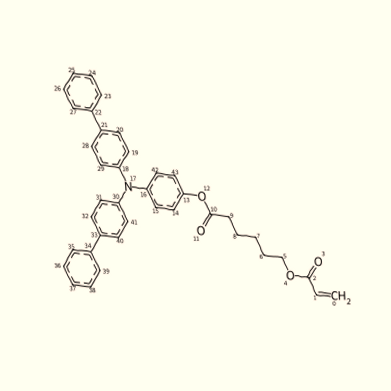 C=CC(=O)OCCCCCC(=O)Oc1ccc(N(c2ccc(-c3ccccc3)cc2)c2ccc(-c3ccccc3)cc2)cc1